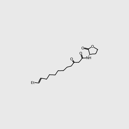 CCC=CCCCCCCCC(=O)CC(=O)N[C@H]1CCOC1=O